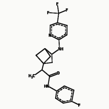 CC(C(=O)Nc1ccc(F)cc1)C12CC(C1)C(Nc1ccc(C(F)(F)F)cn1)C2